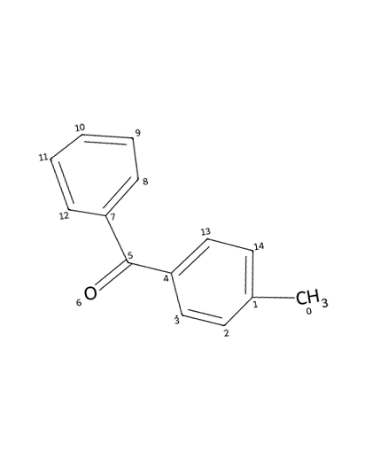 Cc1c[c]c(C(=O)c2ccccc2)cc1